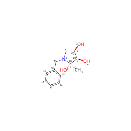 C[C@@]1(O)[C@H](O)[C@H](O)CN1Cc1ccccc1